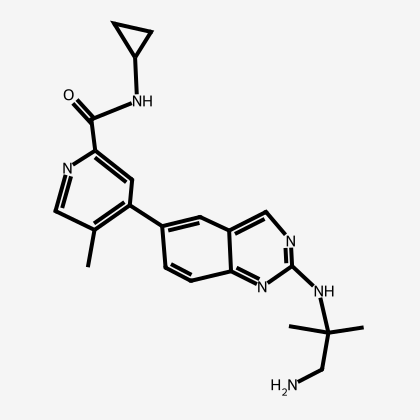 Cc1cnc(C(=O)NC2CC2)cc1-c1ccc2nc(NC(C)(C)CN)ncc2c1